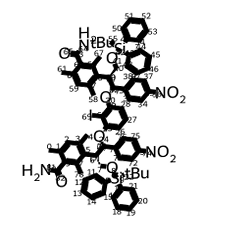 Cc1cc(C)c([C@@H](CO[Si](c2ccccc2)(c2ccccc2)C(C)(C)C)[C@@H](Oc2cccc(O[C@@H](c3ccc([N+](=O)[O-])cc3)[C@H](CO[Si](c3ccccc3)(c3ccccc3)C(C)(C)C)c3c(C)cc(C)c(C(N)=O)c3C)c2I)c2ccc([N+](=O)[O-])cc2)c(C)c1C(N)=O